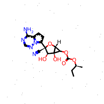 CC[C@H](C)OC(=O)OC1[C@H]2O[C@@](C#N)(c3ccc4c(N)ncnn34)[C@H](O)[C@@]12O